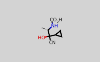 C[C@H](NC(=O)O)C(O)(C#N)C1CC1